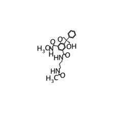 CNC(=O)c1cc(C(=O)NCCCNC(C)=O)cc2c1OC[C@]2(CO)c1ccccc1